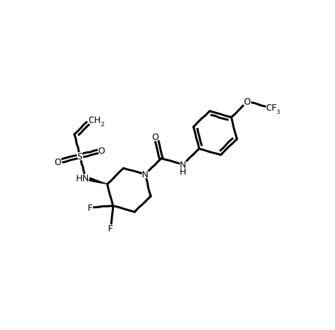 C=CS(=O)(=O)N[C@H]1CN(C(=O)Nc2ccc(OC(F)(F)F)cc2)CCC1(F)F